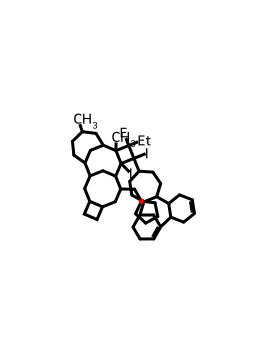 CCC1(F)C2(C)C3CC(C)CCC(C3)C3CC4CCC4CC(CC4CCCC4)C(C3)C2(I)C1(I)C1CCC2C3CCC=C(C3)C3CC=CCC3C2CC1